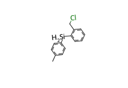 Cc1ccc([SiH2]c2ccccc2CCl)cc1